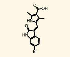 Cc1[nH]c(C=C2C(=O)Nc3cc(Br)ccc32)c(C)c1C(=O)O